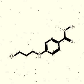 CC(C)(C)OC(=O)c1ccc(NCCCN)cc1